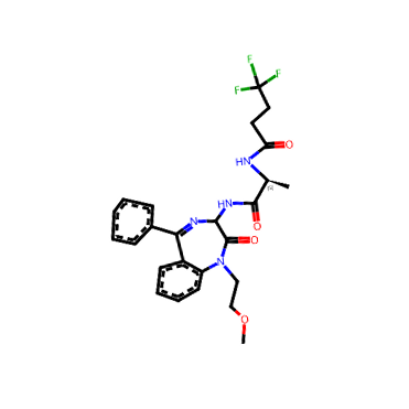 COCCN1C(=O)C(NC(=O)[C@H](C)NC(=O)CCC(F)(F)F)N=C(c2ccccc2)c2ccccc21